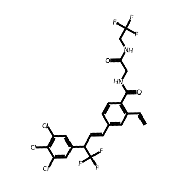 C=Cc1cc(/C=C/C(c2cc(Cl)c(Cl)c(Cl)c2)C(F)(F)F)ccc1C(=O)NCC(=O)NCC(F)(F)F